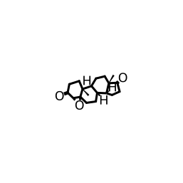 C[C@]12CC[C@@H]3[C@@H](CCC45OC4C(=O)CC[C@]35C)[C@@H]1CCC2=O